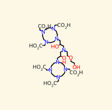 O=C(O)CN1CCN(CC(=O)O)CCN(CC(O)CN(CCOCCO)CC(O)CN2CCN(CC(=O)O)CCN(CC(=O)O)CCN(CC(=O)O)CC2)CCN(CC(=O)O)CC1